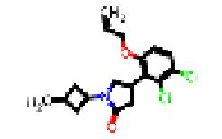 C=CCOc1ccc(Cl)c(Cl)c1C1CC(=O)N(C2CC(=C)C2)C1